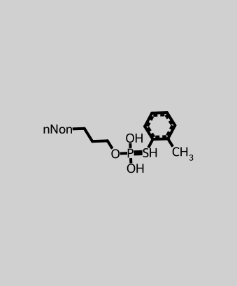 CCCCCCCCCCCCOP(O)(O)=[SH]c1ccccc1C